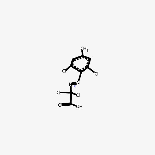 Cc1cc(Cl)c(/N=N/C(Cl)(Cl)C(=O)O)c(Cl)c1